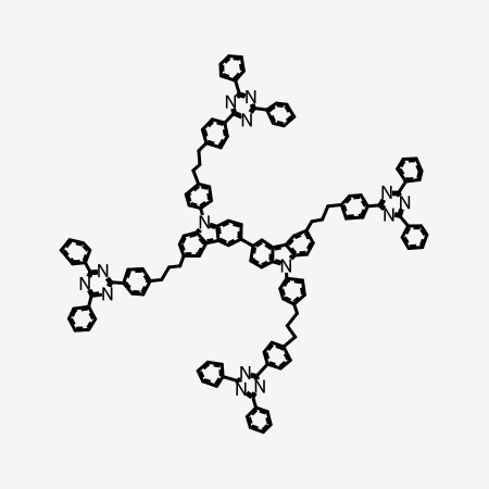 c1ccc(-c2nc(-c3ccccc3)nc(-c3ccc(CCCc4ccc(-n5c6ccc(CCCc7ccc(-c8nc(-c9ccccc9)nc(-c9ccccc9)n8)cc7)cc6c6cc(-c7ccc8c(c7)c7cc(CCCc9ccc(-c%10nc(-c%11ccccc%11)nc(-c%11ccccc%11)n%10)cc9)ccc7n8-c7ccc(CCCc8ccc(-c9nc(-c%10ccccc%10)nc(-c%10ccccc%10)n9)cc8)cc7)ccc65)cc4)cc3)n2)cc1